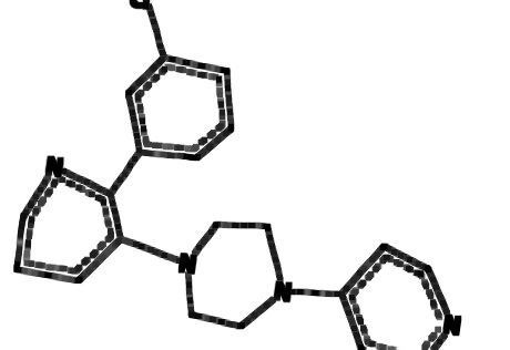 Clc1cccc(-c2ncccc2N2CCN(c3ccncc3)CC2)c1